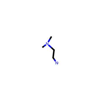 CN(C)CC[N]